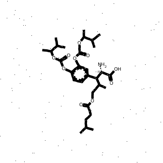 CC(C)CCC(=O)OCC(C)C(c1ccc(OC(=O)OC(C)C(C)C)c(OC(=O)OC(C)C(C)C)c1)[C@H](N)C(=O)O